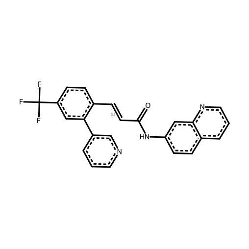 O=C(/C=C/c1ccc(C(F)(F)F)cc1-c1cccnc1)Nc1ccc2cccnc2c1